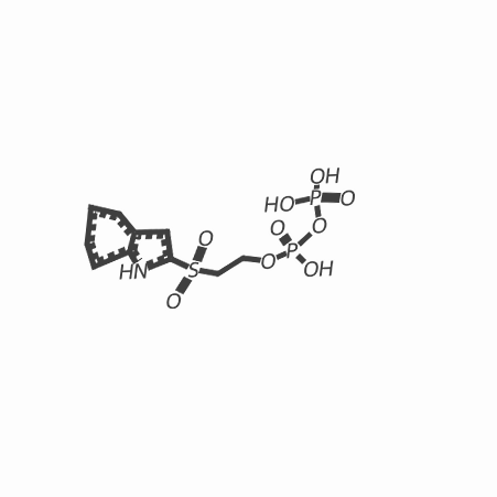 O=P(O)(O)OP(=O)(O)OCCS(=O)(=O)c1cc2ccccc2[nH]1